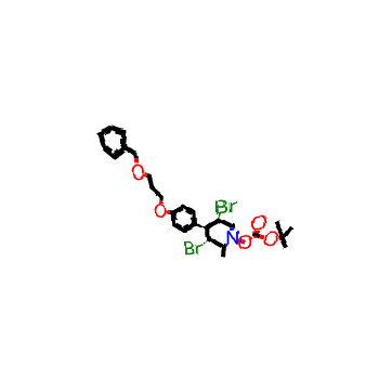 CC1[C@H](Br)[C@@H](c2ccc(OCCCOCc3ccccc3)cc2)[C@H](Br)CN1OC(=O)OC(C)(C)C